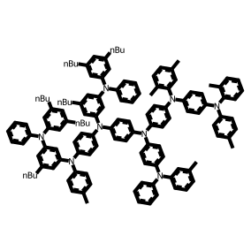 CCCCc1cc(CCCC)cc(N(c2ccccc2)c2cc(CCCC)cc(N(c3ccc(C)cc3)c3ccc(N(c4ccc(N(c5ccc(N(c6ccccc6)c6cccc(C)c6)cc5)c5ccc(N(c6ccc(N(c7ccc(C)cc7)c7ccccc7C)cc6)c6cc(C)ccc6C)cc5)cc4)c4cc(CCCC)cc(N(c5ccccc5)c5cc(CCCC)cc(CCCC)c5)c4)cc3)c2)c1